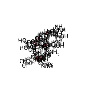 CN[C@H](CC(C)C)C(=O)N[C@H]1C(=O)N[C@@H](CC(N)=O)C(=O)N[C@H]2C(=O)N[C@H]3C(=O)N[C@H](C(=O)N[C@@H](NNC(=N)N)c4cc(O)cc(O)c4-c4cc3ccc4O)[C@H](O)c3ccc(c(Cl)c3)Oc3cc2cc(c3O[C@@H]2O[C@H](CO)[C@@H](O)[C@H](O)[C@H]2O[C@H]2C[C@](C)(NCCn3ccc(NC(=O)Cc4ccc(Cl)c(Cl)c4)nc3=O)[C@H](O)[C@H](C)O2)Oc2ccc(cc2Cl)[C@H]1O